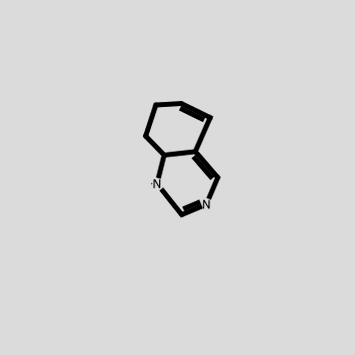 C1=CC2=CN=C[N]C2CC1